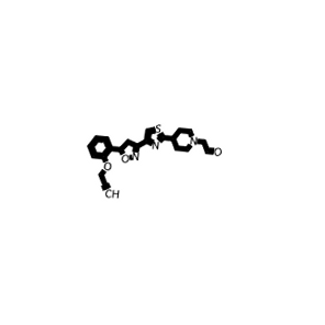 C#CCOc1ccccc1C1CC(c2csc(C3CCN(CC=O)CC3)n2)=NO1